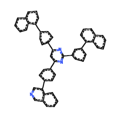 c1cc(-c2nc(-c3ccc(-c4cccc5ccccc45)cc3)cc(-c3ccc(-c4cncc5ccccc45)cc3)n2)cc(-c2cccc3ccccc23)c1